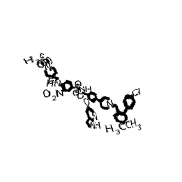 CC1(C)CCC(CN2CC=C(c3ccc(C(=O)NS(=O)(=O)c4ccc(NCC5(F)CCN(S(C)(=O)=O)CC5)c([N+](=O)[O-])c4)c(Oc4cnc5[nH]ccc5c4)c3)CC2)=C(c2ccc(Cl)cc2)C1